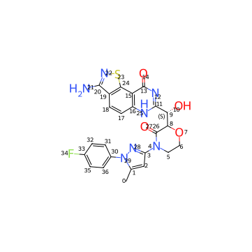 Cc1cc(N2CCOC([C@@H](O)c3nc(=O)c4c(ccc5c(N)nsc54)[nH]3)C2=O)nn1-c1ccc(F)cc1